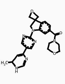 CC1C=C(c2cnc(N3CC4(COC4)c4ccc(C(=O)N5CCOCC5)cc43)nc2)N=CN1